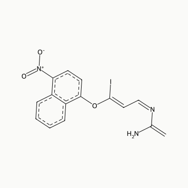 C=C(N)/N=C\C=C(/I)Oc1ccc([N+](=O)[O-])c2ccccc12